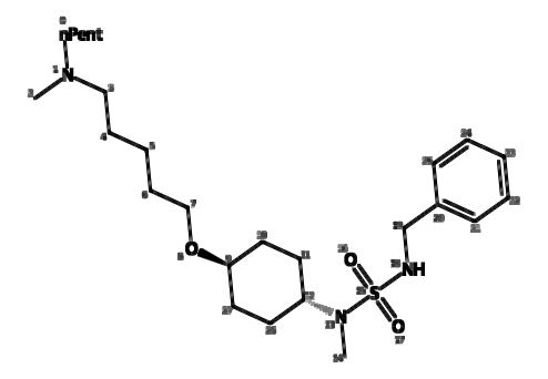 CCCCCN(C)CCCCCO[C@H]1CC[C@H](N(C)S(=O)(=O)NCc2ccccc2)CC1